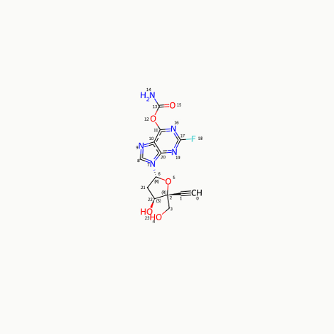 C#C[C@]1(CO)O[C@@H](n2cnc3c(OC(N)=O)nc(F)nc32)C[C@@H]1O